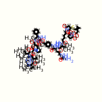 CC[C@H](C)[C@@H]([C@@H](CC(=O)N1CCC[C@H]1[C@H](OC)[C@@H](C)C(=O)N[C@H](C)C(NC(=O)OCc1ccc(NC(=O)[C@H](CCCNC(N)=O)NC(=O)[C@@H](NC(=O)CCCCCN2C(=O)CC(SCC3(CC(=O)ON4C(=O)CCC4=O)CC3)C2=O)C(C)C)cc1)c1ccccc1)OC)N(C)C(=O)[C@@H](NC(=O)[C@H](C(C)C)N(C)C)C(C)C